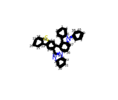 c1ccc(-n2c3ccccc3c3c4c5cc6sc7ccccc7c6cc5c5nc6ccccc6n5c4ccc32)cc1